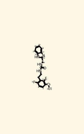 CCOc1ccc(F)c(CCNC(=O)NSc2nc3ccccc3[nH]2)c1F